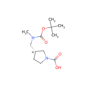 CN(C[C@H]1CCN(C(=O)O)C1)C(=O)OC(C)(C)C